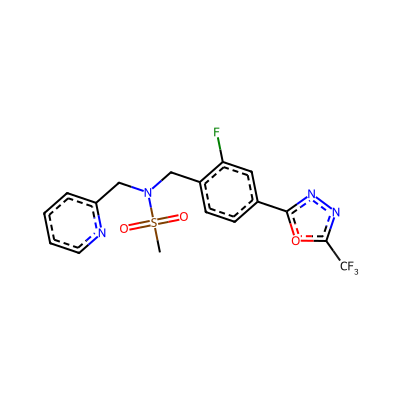 CS(=O)(=O)N(Cc1ccccn1)Cc1ccc(-c2nnc(C(F)(F)F)o2)cc1F